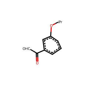 CC(C)Oc1cccc(C(=O)C=O)c1